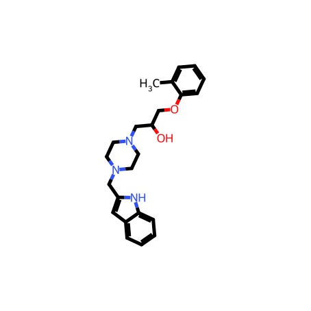 Cc1ccccc1OCC(O)CN1CCN(Cc2cc3ccccc3[nH]2)CC1